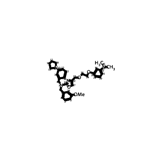 COc1cccc(CN(Cc2cccc(N3CCCC3)c2)c2nc(COCCOc3cccc(N(C)C)c3)co2)c1